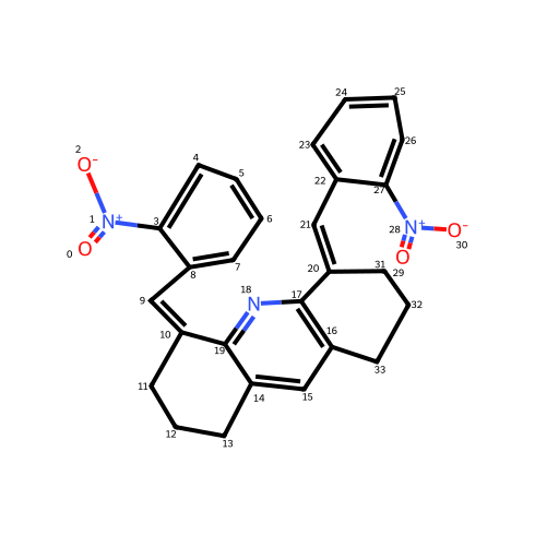 O=[N+]([O-])c1ccccc1/C=C1/CCCc2cc3c(nc21)/C(=C/c1ccccc1[N+](=O)[O-])CCC3